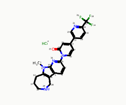 Cl.Cn1c2c(c3ccc(-n4ccc(-c5ccc(C(F)(F)F)nc5)cc4=O)nc31)CNCCC2